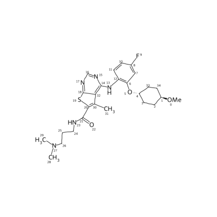 CO[C@H]1CC[C@H](Oc2cc(F)ccc2Nc2ncnc3sc(C(=O)NCCCN(C)C)c(C)c23)CC1